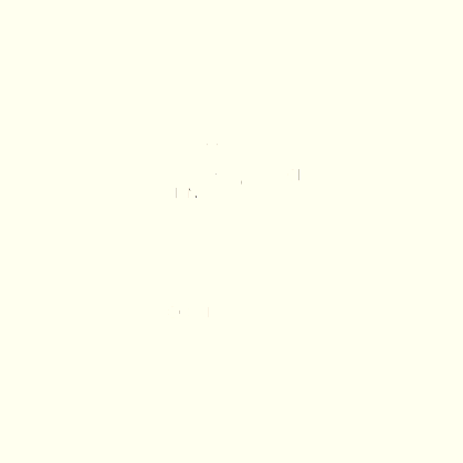 O=C(O)CCCCNC(=O)OCCl